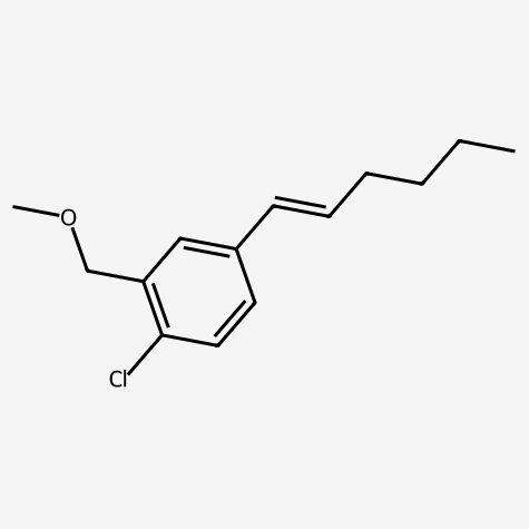 CCCCC=Cc1ccc(Cl)c(COC)c1